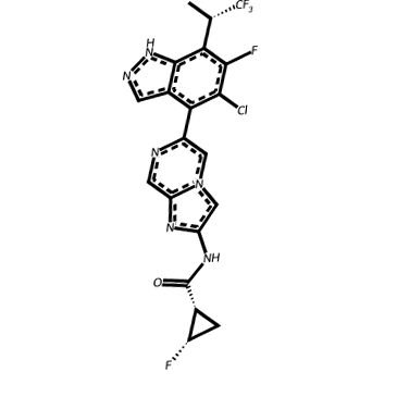 C[C@@H](c1c(F)c(Cl)c(-c2cn3cc(NC(=O)[C@@H]4C[C@@H]4F)nc3cn2)c2cn[nH]c12)C(F)(F)F